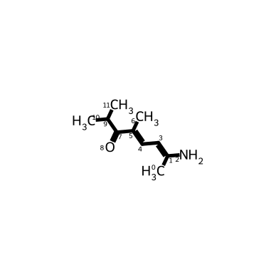 C/C(N)=C\C=C(/C)C(=O)C(C)C